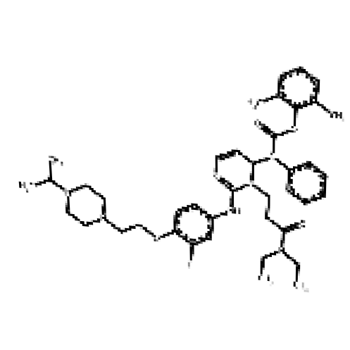 CCN(CC)C(=O)CCN1C(Nc2ccc(OCCN3CCN(C(C)C)CC3)c(F)c2)=NC=CC1N(C(=O)Oc1c(C)cccc1C)c1ccccc1